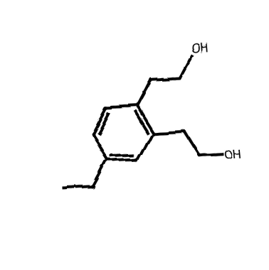 CCc1ccc(CCO)c(CCO)c1